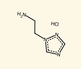 Cl.NCCn1cncn1